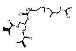 C=C(C)C(=O)OCC(COC(=O)C(=C)C)OC(=O)NCCC(C)(C)CC(C)CNC(=O)C(C)C